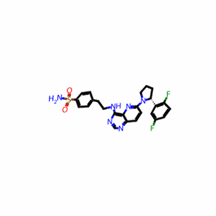 NS(=O)(=O)c1ccc(CCNc2ncnc3ccc(N4CCC[C@@H]4c4cc(F)ccc4F)nc23)cc1